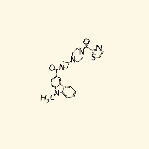 Cn1c2ccccc2c2cc(C(=O)N3CC(N4CCN(C(=O)c5nccs5)CC4)C3)ccc21